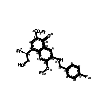 CCOC(=O)c1cn([C@H](CO)C(C)C)c2nc(OCC)c(NCc3ccc(F)cc3)cc2c1=O